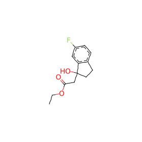 CCOC(=O)CC1(O)CCc2ccc(F)cc21